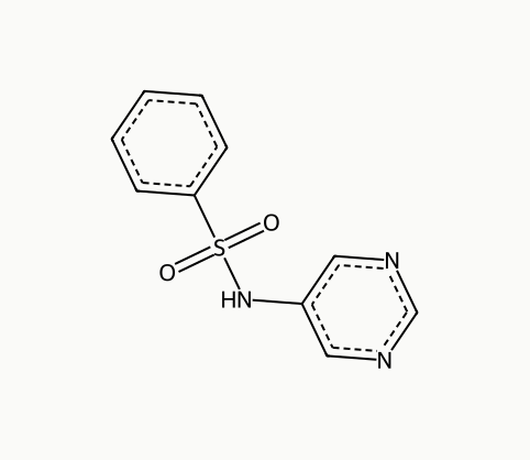 O=S(=O)(Nc1cncnc1)c1ccccc1